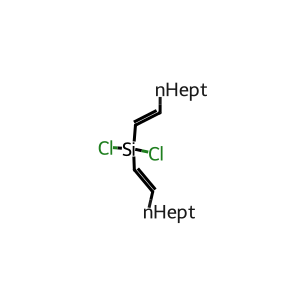 CCCCCCCC=C[Si](Cl)(Cl)C=CCCCCCCC